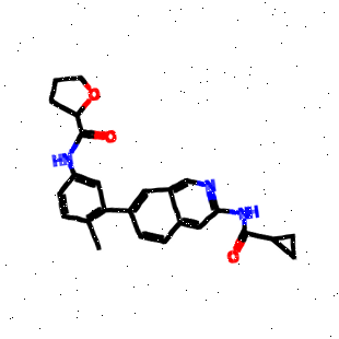 Cc1ccc(NC(=O)C2CCCO2)cc1-c1ccc2cc(NC(=O)C3CC3)ncc2c1